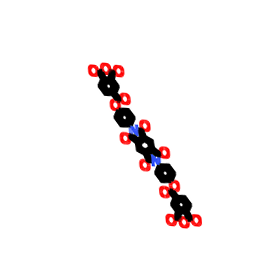 O=C(Oc1ccc(N2C(=O)C3CC4C(=O)N(c5ccc(OC(=O)c6ccc7c(c6)C(=O)OC7=O)cc5)C(=O)C4CC3C2=O)cc1)c1ccc2c(c1)C(=O)OC2=O